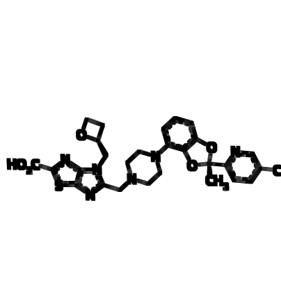 C[C@]1(c2ccc(Cl)cn2)Oc2cccc(N3CCN(Cc4nc5sc(C(=O)O)nc5n4C[C@@H]4CCO4)CC3)c2O1